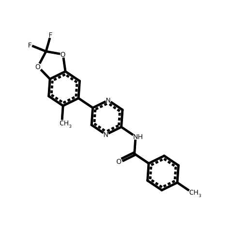 Cc1ccc(C(=O)Nc2cnc(-c3cc4c(cc3C)OC(F)(F)O4)cn2)cc1